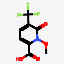 COn1c(C(=O)O)ccc(C(F)(F)F)c1=O